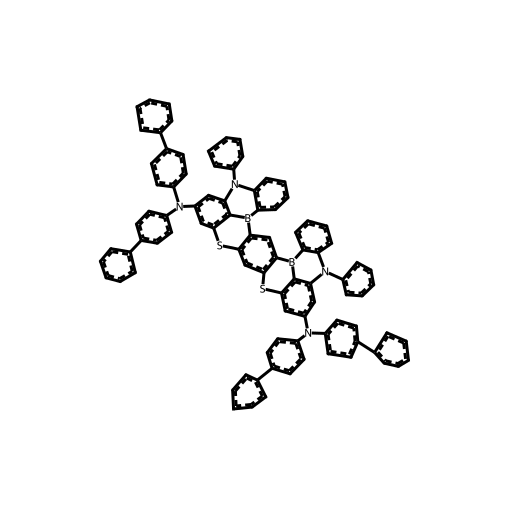 c1ccc(-c2ccc(N(c3ccc(-c4ccccc4)cc3)c3cc4c5c(c3)N(c3ccccc3)c3ccccc3B5c3cc5c(cc3S4)Sc3cc(N(c4ccc(-c6ccccc6)cc4)c4ccc(-c6ccccc6)cc4)cc4c3B5c3ccccc3N4c3ccccc3)cc2)cc1